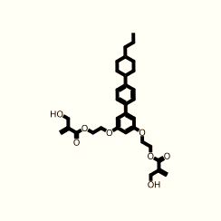 C=C(CO)C(=O)OCCOc1cc(OCCOC(=O)C(=C)CO)cc(-c2ccc(C3CCC(CCC)CC3)cc2)c1